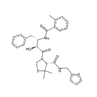 Cc1ccccc1C(=O)N[C@@H](Cc1ccccc1)[C@H](O)C(=O)N1CSC(C)(C)[C@H]1C(=O)NCc1cccs1